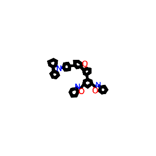 c1ccc2oc(-c3cc(-c4ccc5oc6ccc(-c7ccc(-n8c9ccccc9c9ccccc98)cc7)cc6c5c4)cc(-c4nc5ccccc5o4)c3)nc2c1